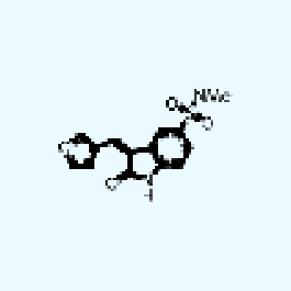 CNS(=O)(=O)c1ccc2c(c1)C(=Cc1ccoc1)C(=O)N2